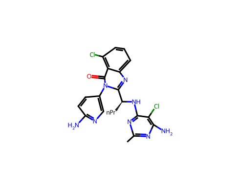 CCC[C@H](Nc1nc(C)nc(N)c1Cl)c1nc2cccc(Cl)c2c(=O)n1-c1ccc(N)nc1